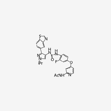 CC(=O)Nc1cc(Oc2ccc(NC(=O)Nc3cn(C(C)C)nc3-c3ccc4scnc4c3)c(F)c2)ccn1